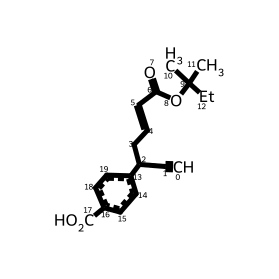 C#CC(CC=CC(=O)OC(C)(C)CC)c1ccc(C(=O)O)cc1